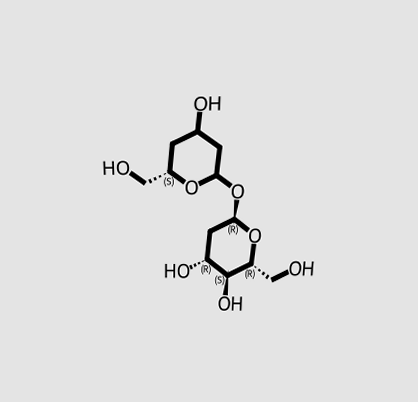 OC[C@@H]1CC(O)CC(O[C@@H]2C[C@@H](O)[C@H](O)[C@@H](CO)O2)O1